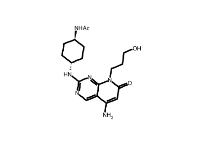 CC(=O)N[C@H]1CC[C@H](Nc2ncc3c(N)cc(=O)n(CCCO)c3n2)CC1